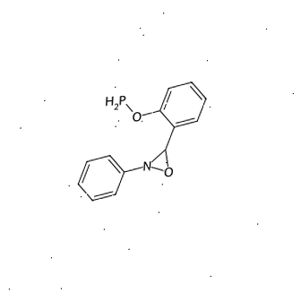 POc1ccccc1C1ON1c1ccccc1